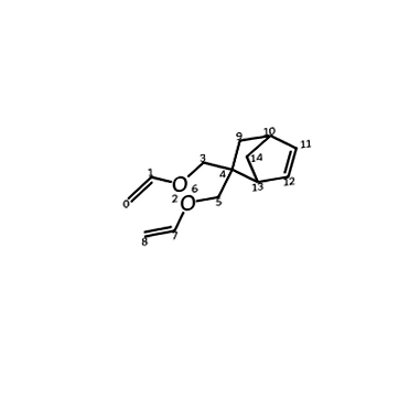 C=COCC1(COC=C)CC2C=CC1C2